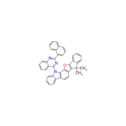 CC1(C)c2ccccc2-c2oc3c(ccc4c5ccccc5n(-c5nc(-c6cccc7ccccc67)nc6ccccc56)c43)c21